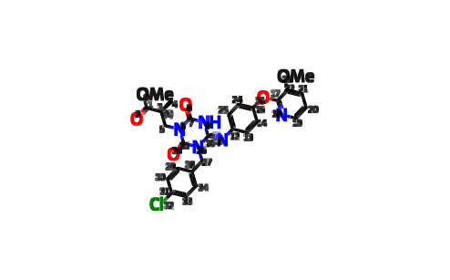 COC(=O)[C@@H](C)Cn1c(=O)[nH]/c(=N\c2ccc(Oc3ncccc3OC)cc2)n(Cc2ccc(Cl)cc2)c1=O